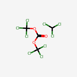 ClC(Cl)Cl.O=C(OC(Cl)(Cl)Cl)OC(Cl)(Cl)Cl